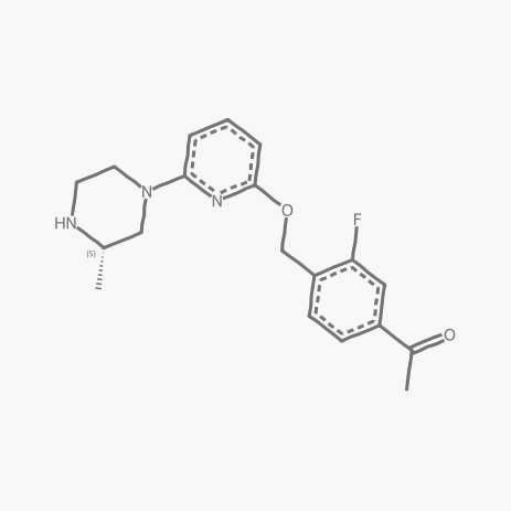 CC(=O)c1ccc(COc2cccc(N3CCN[C@@H](C)C3)n2)c(F)c1